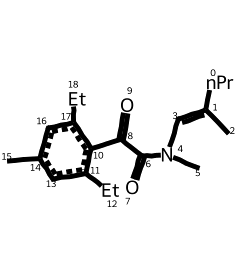 CCCC(C)=CN(C)C(=O)C(=O)c1c(CC)cc(C)cc1CC